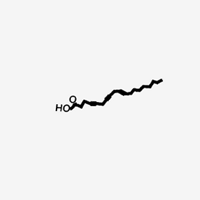 CCCCCCCCC#CCC#CCC#CCCC(=O)CO